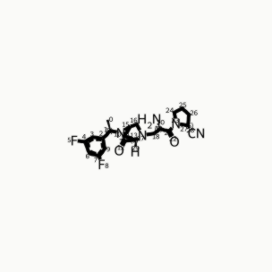 C[C@H](c1cc(F)cc(F)c1)N1C(=O)[C@@H]2CC1CN2C[C@H](N)C(=O)N1CCC[C@H]1C#N